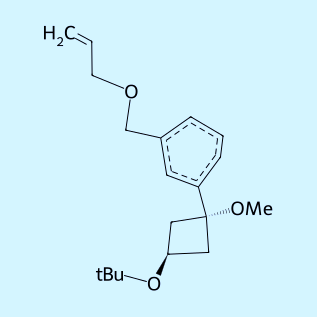 C=CCOCc1cccc([C@]2(OC)C[C@H](OC(C)(C)C)C2)c1